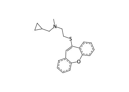 CN(CCSC1=Cc2ccccc2Oc2ccccc21)CC1CC1